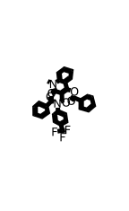 Cn1c(=O)c(C(=O)N(C(=O)c2ccccc2)c2ccc(C(F)(F)F)cc2)c(OC(=O)c2ccccc2)c2ccccc21